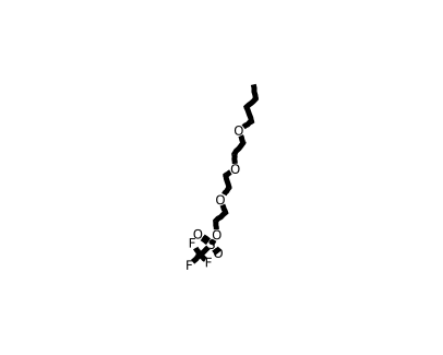 CCCCOCCOCCOCCOS(=O)(=O)C(F)(F)F